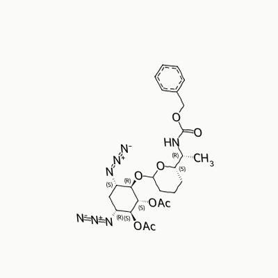 CC(=O)O[C@@H]1[C@@H](OC(C)=O)[C@H](N=[N+]=[N-])C[C@H](N=[N+]=[N-])[C@H]1OC1CCC[C@@H]([C@@H](C)NC(=O)OCc2ccccc2)O1